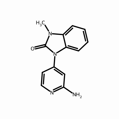 Cn1c(=O)n(-c2ccnc(N)c2)c2ccccc21